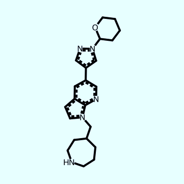 c1nc2c(ccn2CC2CCCNCC2)cc1-c1cnn(C2CCCCO2)c1